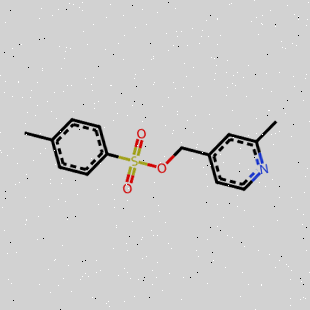 Cc1ccc(S(=O)(=O)OCc2ccnc(C)c2)cc1